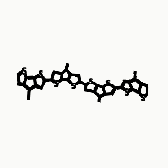 CC1C2CCSC2C2SC(C3CC4C(C)C5CC(C6CC7C(C)C8CC(C9CC%10C(C)C%11CCSC%11C%10S9)SC8C7S6)SC5C4S3)CC12